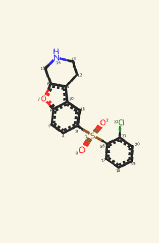 O=S(=O)(c1ccc2oc3c(c2c1)CCNC3)c1ccccc1Cl